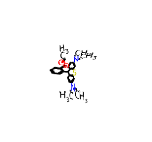 CCOC(=O)c1ccccc1C1c2ccc(N(CC)CC)cc2Sc2cc(N(CC)CC)ccc21